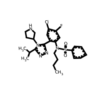 CCCCN(c1cc(F)c(Cl)cc1-c1nnc(C(C)C)n1C1CCNC1)S(=O)(=O)c1ccccc1